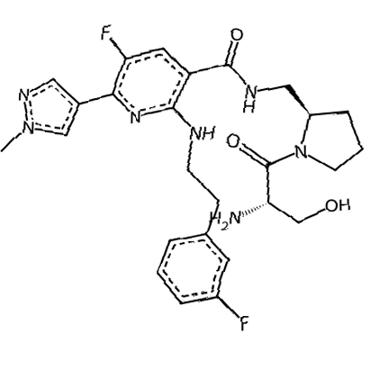 Cn1cc(-c2nc(NCCc3cccc(F)c3)c(C(=O)NC[C@H]3CCCN3C(=O)[C@@H](N)CO)cc2F)cn1